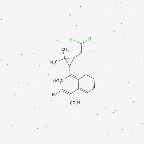 CCC=C(C(=O)O)C1=CC=CCC1=C(C(=O)O)C1C(C=C(Cl)Cl)C1(C)C